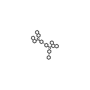 c1ccc(-c2ccc(N(c3ccc(-c4ccc(N(c5ccc6ccccc6c5)c5cccc6ccccc56)cc4)cc3)c3cc4ccccc4c4ccccc34)cc2)cc1